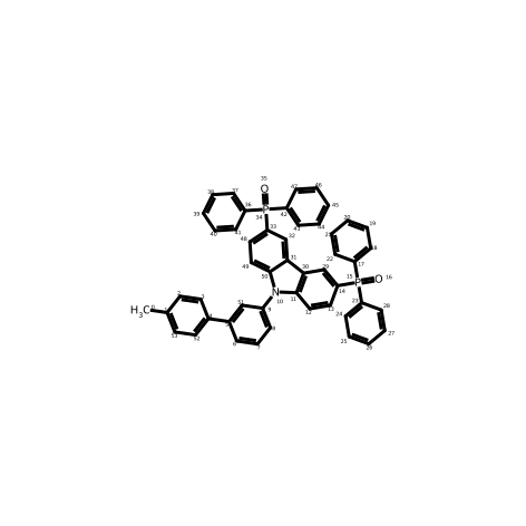 Cc1ccc(-c2cccc(-n3c4ccc(P(=O)(c5ccccc5)c5ccccc5)cc4c4cc(P(=O)(c5ccccc5)c5ccccc5)ccc43)c2)cc1